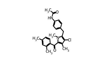 CC(=O)Nc1ccc(Cc2c(Cl)c(C)c(C(=O)c3ccc(C)cc3C)n2C)cc1